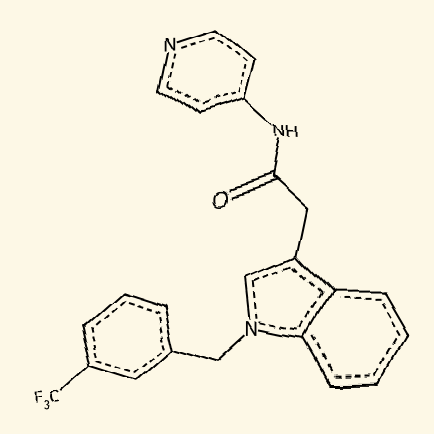 O=C(Cc1cn(Cc2cccc(C(F)(F)F)c2)c2ccccc12)Nc1ccncc1